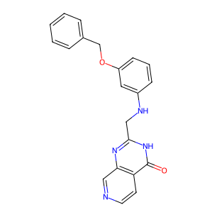 O=c1[nH]c(CNc2cccc(OCc3ccccc3)c2)nc2cnccc12